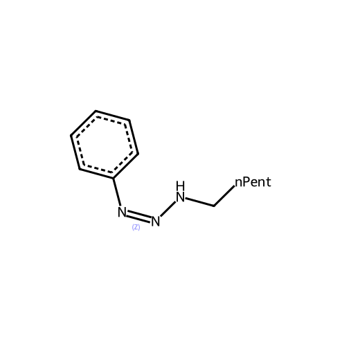 CCCCCCN/N=N\c1ccccc1